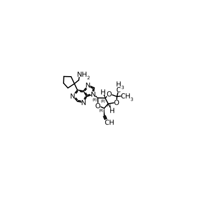 C#C[C@H]1O[C@@H](n2cnc3c(C4(CN)CCCC4)ncnc32)[C@@H]2OC(C)(C)O[C@@H]21